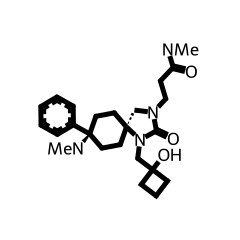 CNC(=O)CCN1C[C@]2(CC[C@@](NC)(c3ccccc3)CC2)N(CC2(O)CCC2)C1=O